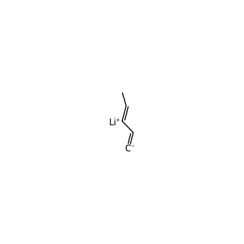 [CH-]=C/C=C/C.[Li+]